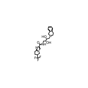 O=C(NC[C@H](O)[C@@H](O)CN1CCc2ccccc2C1)c1cn2c(n1)CCC(C(F)(F)F)C2